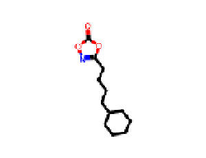 O=c1onc(CCCCC2CCCCC2)o1